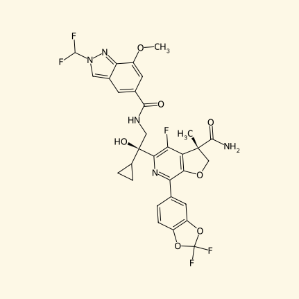 COc1cc(C(=O)NC[C@](O)(c2nc(-c3ccc4c(c3)OC(F)(F)O4)c3c(c2F)[C@](C)(C(N)=O)CO3)C2CC2)cc2cn(C(F)F)nc12